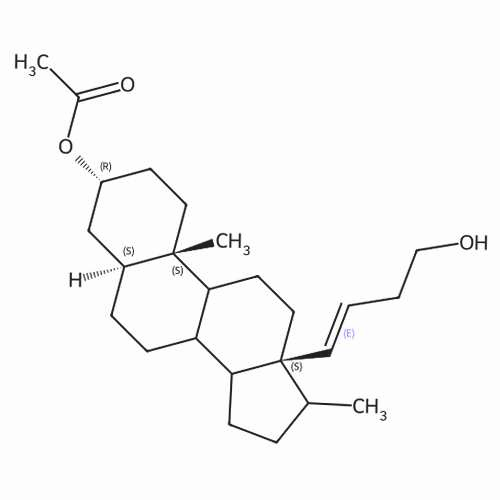 CC(=O)O[C@@H]1CC[C@]2(C)C3CC[C@]4(/C=C/CCO)C(C)CCC4C3CC[C@H]2C1